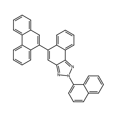 c1ccc2c(-n3nc4cc(-c5cc6ccccc6c6ccccc56)c5ccccc5c4n3)cccc2c1